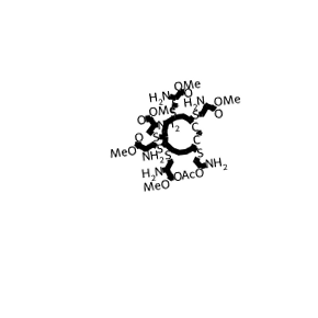 COC(=O)C(N)CSC1CCCC(SCC(N)OC(C)=O)CCC(SCC(N)C(=O)OC)C(SCC(N)C(=O)OC)C(SCC(N)C(=O)OC)CCC(SCC(N)C(=O)OC)C1